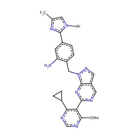 COc1ncnc(C2CC2)c1-c1ncc2cnn(Cc3ccc(-c4nc(C(F)(F)F)cn4C(C)C)cc3N)c2n1